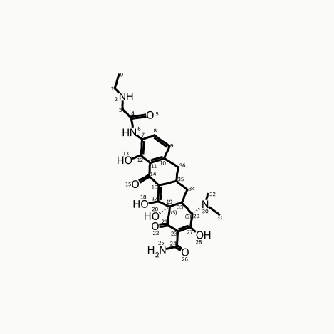 CCNCC(=O)Nc1ccc2c(c1O)C(=O)C1=C(O)[C@]3(O)C(=O)C(C(N)=O)=C(O)[C@@H](N(C)C)C3CC1C2